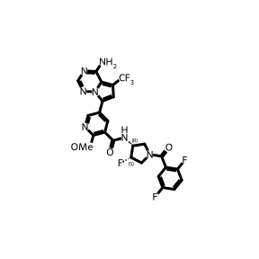 COc1ncc(-c2cc(C(F)(F)F)c3c(N)ncnn23)cc1C(=O)N[C@@H]1CN(C(=O)c2cc(F)ccc2F)C[C@@H]1F